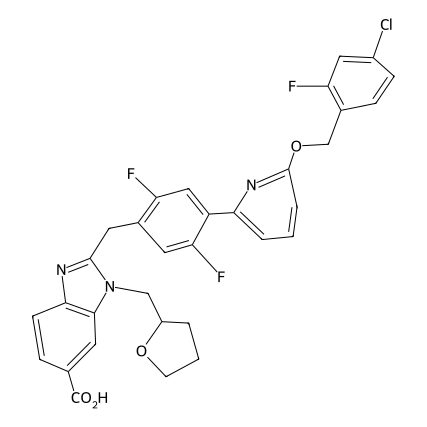 O=C(O)c1ccc2nc(Cc3cc(F)c(-c4cccc(OCc5ccc(Cl)cc5F)n4)cc3F)n(CC3CCCO3)c2c1